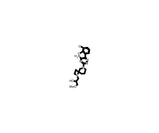 COCC(O)CN1CCC12CCCN(c1nnc(-c3cccc(Cl)c3Cl)c(N)n1)C2